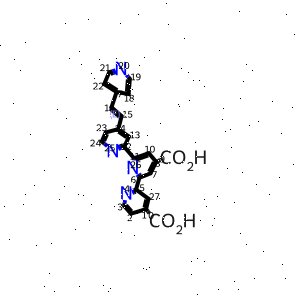 O=C(O)c1ccnc(-c2cc(C(=O)O)cc(-c3cc(/C=C/c4ccncc4)ccn3)n2)c1